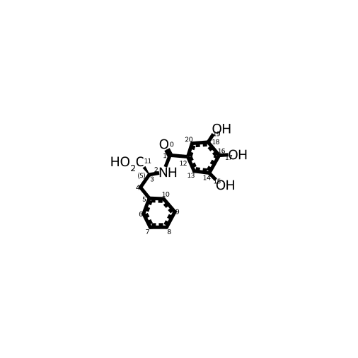 O=C(N[C@@H](Cc1ccccc1)C(=O)O)c1cc(O)c(O)c(O)c1